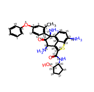 Cc1cc(Oc2ccccc2)ccc1C1(N)C(=O)C(N)c2c(C(=O)N[C@H]3CCC[C@@H]3O)sc3c(N)ccc1c23